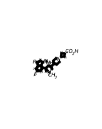 CN1C=C2C(=C(C3=CCN(C4CC(C(=O)O)C4)CC3)C1)NN=C1C=C(F)c3cc(F)cc2c31